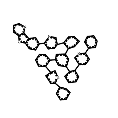 c1ccc(-c2ccc(-c3ccccc3-c3cc(-c4ccccc4-c4ccc(-c5ccccc5)nc4)cc(-c4ccccc4-c4ccc(-c5ccc6oc7cccnc7c6c5)nc4)c3)cn2)cc1